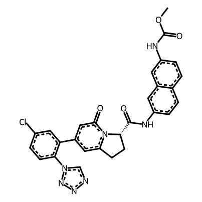 COC(=O)Nc1ccc2ccc(NC(=O)[C@@H]3CCc4cc(-c5cc(Cl)ccc5-n5cnnn5)cc(=O)n43)cc2c1